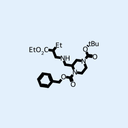 CCOC(=O)C(CC)CNCC1CN(C(=O)OC(C)(C)C)CCN1C(=O)OCc1ccccc1